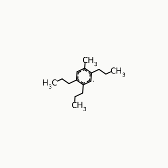 CCCc1[c]c(CCC)c(CCC)cc1C